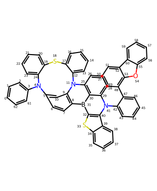 c1ccc(N2c3ccc4c(c3)N(c3ccccc3Sc3ccccc32)c2cccc3c2B4c2sc4ccccc4c2N3c2ccccc2-c2cccc3c2oc2ccccc23)cc1